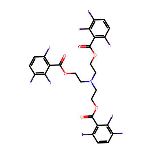 O=C(OCCN(CCOC(=O)c1c(I)ccc(I)c1I)CCOC(=O)c1c(I)ccc(I)c1I)c1c(I)ccc(I)c1I